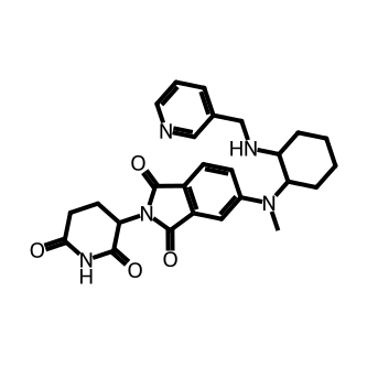 CN(c1ccc2c(c1)C(=O)N(C1CCC(=O)NC1=O)C2=O)C1CCCCC1NCc1cccnc1